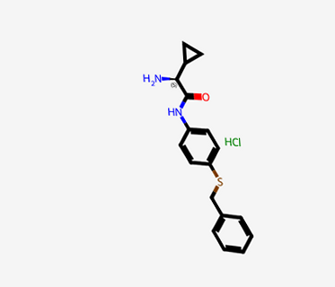 Cl.N[C@H](C(=O)Nc1ccc(SCc2ccccc2)cc1)C1CC1